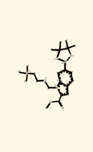 COC(=O)c1cc2ccc(B3OC(C)(C)C(C)(C)O3)cc2n1COCC[Si](C)(C)C